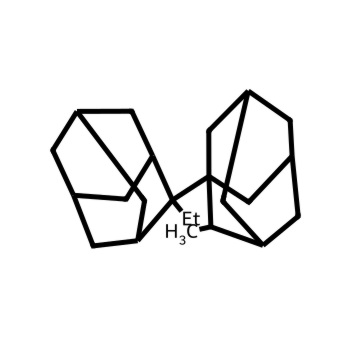 CCC1(C23CC4CC(CC(C4)[C]2C)C3)C2CC3CC(C2)CC1C3